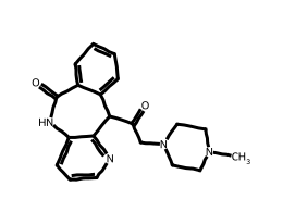 CN1CCN(CC(=O)C2c3ccccc3C(=O)Nc3cccnc32)CC1